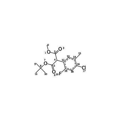 COC(=O)C(C(=O)OC(C)(C)C)c1cc(C)c(Cl)cc1F